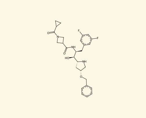 O=C(N[C@@H](Cc1cc(F)cc(F)c1)[C@H](O)[C@H]1C[C@@H](OCc2ccccc2)CN1)C1CN(C(=O)C2CC2)C1